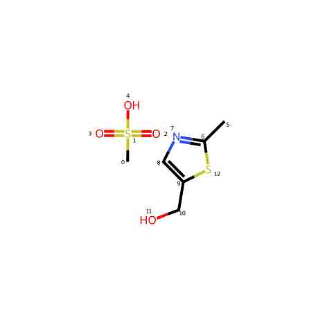 CS(=O)(=O)O.Cc1ncc(CO)s1